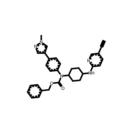 C#Cc1ccc(NC2CCC(N(C(=O)OCc3ccccc3)c3ccc(-c4cnn(C)c4)cc3)CC2)nc1